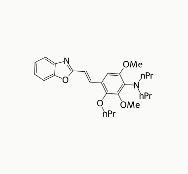 CCCOc1c(C=Cc2nc3ccccc3o2)cc(OC)c(N(CCC)CCC)c1OC